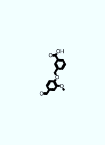 COc1cc(C=O)ccc1OCc1cccc(C(=O)O)c1